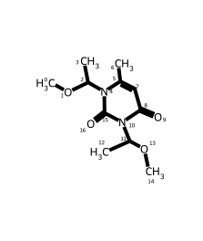 COC(C)n1c(C)cc(=O)n(C(C)OC)c1=O